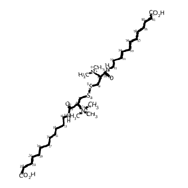 CN(C)C(CSSCC(C(=O)NCCCCCCCCCCCC(=O)O)[N+](C)(C)C)C(=O)NCCCCCCCCCCCC(=O)O